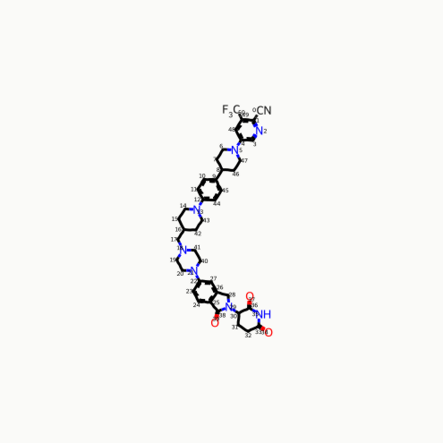 N#Cc1ncc(N2CCC(c3ccc(N4CCC(CN5CCN(c6ccc7c(c6)CN(C6CCC(=O)NC6=O)C7=O)CC5)CC4)cc3)CC2)cc1C(F)(F)F